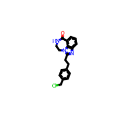 O=C1NCCn2c(CCc3ccc(CCl)cc3)nc3cccc1c32